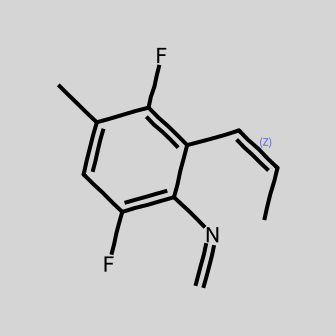 C=Nc1c(F)cc(C)c(F)c1/C=C\C